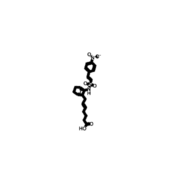 O=C(O)CCCC=CCC1C2CCC(O2)C1NS(=O)(=O)C=Cc1ccc([N+](=O)[O-])cc1